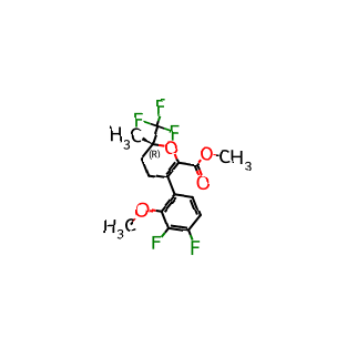 COC(=O)C1=C(c2ccc(F)c(F)c2OC)CC[C@](C)(C(F)(F)F)O1